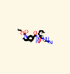 CCOC(=O)n1ccc2ccc(C(=O)NC3(C(=O)NCC#N)CCCCC3)cc21